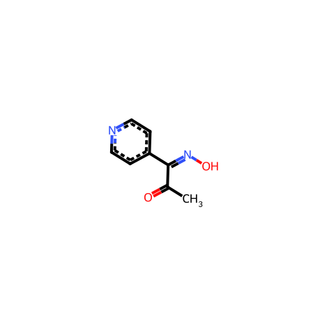 CC(=O)C(=NO)c1ccncc1